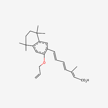 C=CCOc1cc2c(cc1/C=C/C=C/C(C)=C/C(=O)O)C(C)(C)CCC2(C)C